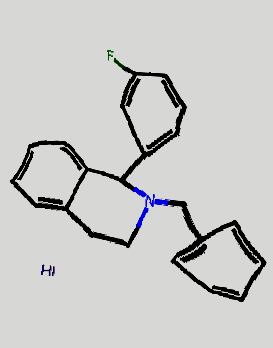 Fc1cccc(C2c3ccccc3CCN2Cc2ccccc2)c1.I